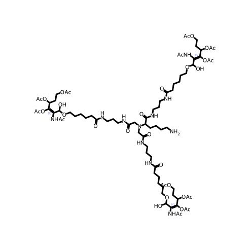 CC(=O)N/C(=C(\OC(C)=O)C(CCOC(C)=O)OC(C)=O)C(O)OCCCCCC(=O)NCCCNC(=O)CN(CC(=O)NCCCNC(=O)CCCCCOC(O)/C(NC(C)=O)=C(/OC(C)=O)C(CCOC(C)=O)OC(C)=O)C(CCCCN)C(=O)NCCCNC(=O)CCCCCOC(O)/C(NC(C)=O)=C(\OC(C)=O)C(CCOC(C)=O)OC(C)=O